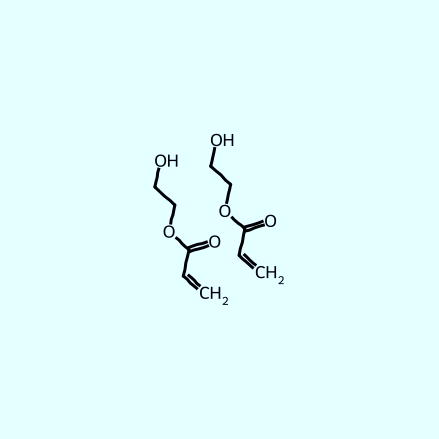 C=CC(=O)OCCO.C=CC(=O)OCCO